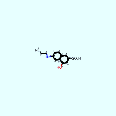 N#CCCNc1ccc2cc(S(=O)(=O)O)cc(O)c2c1